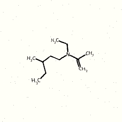 C=C(C)N(CC)CCC(C)CC